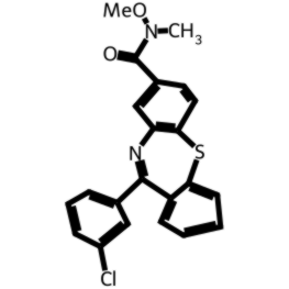 CON(C)C(=O)c1ccc2c(c1)N=C(c1cccc(Cl)c1)c1ccccc1S2